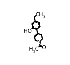 CCc1ccc(C2=CCN(C(C)=O)CC2)c(O)c1